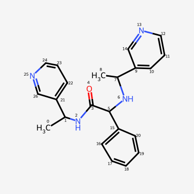 CC(NC(=O)C(NC(C)c1cccnc1)c1ccccc1)c1cccnc1